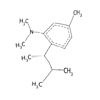 Cc1ccc([C@@H](C)C(C)C)c(N(C)C)c1